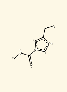 CCc1cc(C(=O)OC)co1